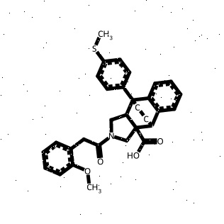 COc1ccccc1CC(=O)N1CC2C3(c4ccc(SC)cc4)CCC(c4ccccc43)C2(C(=O)O)C1